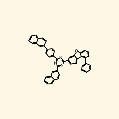 c1ccc(-c2cccc3oc4cc(-c5nc(-c6ccc(-c7ccc8ccccc8c7)cc6)nc(-c6ccc7ccccc7c6)n5)ccc4c23)cc1